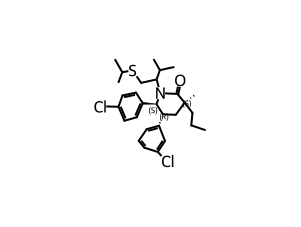 CCC[C@@]1(C)C[C@H](c2cccc(Cl)c2)[C@@H](c2ccc(Cl)cc2)N(C(CSC(C)C)C(C)C)C1=O